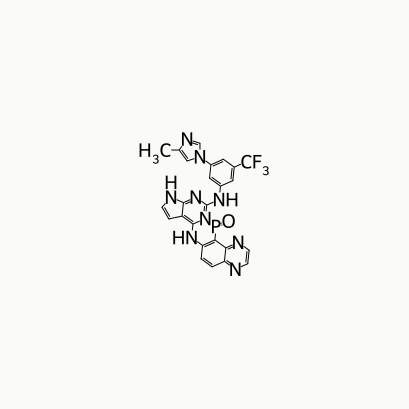 Cc1cn(-c2cc(Nc3nc(Nc4ccc5nccnc5c4P=O)c4cc[nH]c4n3)cc(C(F)(F)F)c2)cn1